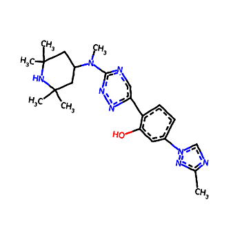 Cc1ncn(-c2ccc(-c3cnc(N(C)C4CC(C)(C)NC(C)(C)C4)nn3)c(O)c2)n1